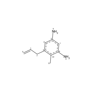 C=CCc1cc(N)cc(N)c1C